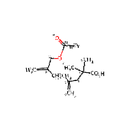 C=C(C)CC(C)(C)C(=O)O.C=C(C)COC(=O)C(C)C